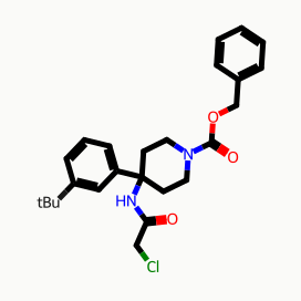 CC(C)(C)c1cccc(C2(NC(=O)CCl)CCN(C(=O)OCc3ccccc3)CC2)c1